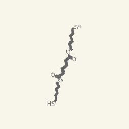 O=C(CCCCC(=O)OCCCCCCS)OCCCCCCS